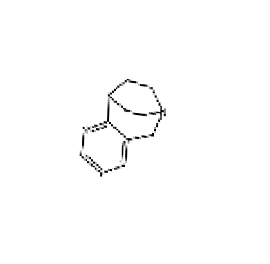 [c]1cnc2c(c1)CN1CCC2CC1